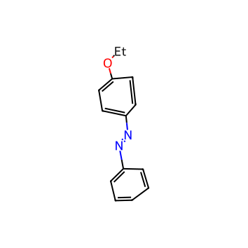 CCOc1ccc(N=Nc2ccccc2)cc1